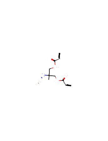 C=CC(=O)OCC(C)(COC(=O)C=C)N=C=S